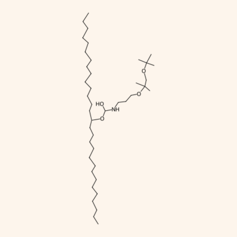 CCCCCCCCCCCCCCC(CCCCCCCCCCCCCC)OC(O)NCCCOC(C)(C)COC(C)(C)C